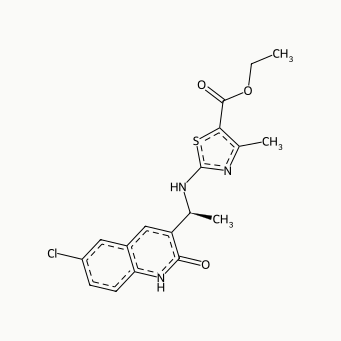 CCOC(=O)c1sc(N[C@@H](C)c2cc3cc(Cl)ccc3[nH]c2=O)nc1C